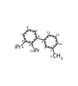 Cc1[c]c(-c2cccc(C(C)C)c2C(C)C)ccc1